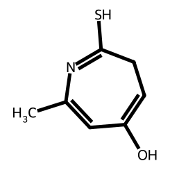 CC1=CC(O)=CCC(S)=N1